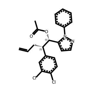 C=CC[C@@H](c1ccc(Cl)c(Cl)c1)[C@H](OC(C)=O)c1ccnn1-c1ccccc1